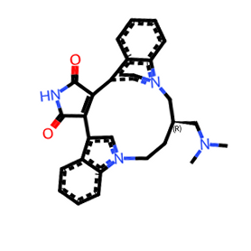 CN(C)C[C@H]1CCn2cc(c3ccccc32)C2=C(C(=O)NC2=O)c2cn(c3ccccc23)C1